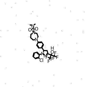 CN(C)S(=O)(=O)N1CCCN(c2ccc(C3CC(C(O)(C(F)(F)F)C(F)(F)F)=NN3c3ccccc3Cl)cc2)CC1